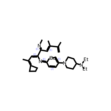 C=C(C)/C(C)=C/C(=N\C)C(=C/C(C)=C1CCC1)/N=C(/C=C\C(=C/C)N1CCC(N(CC)CC)CC1)C(C)CC